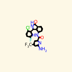 Nc1cc(C(F)(F)F)cc(C(=O)Nc2cccc3c2C(c2cc(F)ccc2Cl)NC3=O)n1